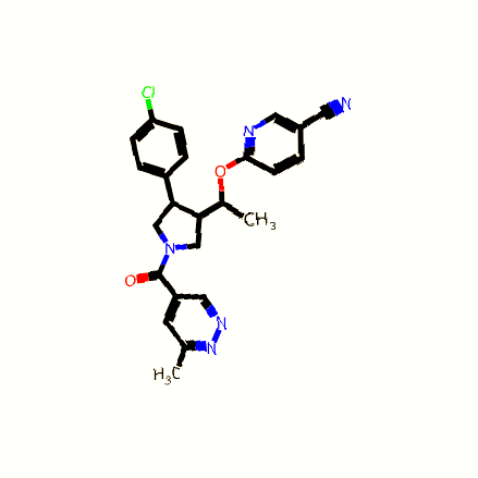 Cc1cc(C(=O)N2CC(c3ccc(Cl)cc3)C(C(C)Oc3ccc(C#N)cn3)C2)cnn1